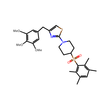 COc1cc(Cc2csc(N3CCC(S(=O)(=O)c4c(C)c(C)cc(C)c4C)CC3)n2)cc(OC)c1OC